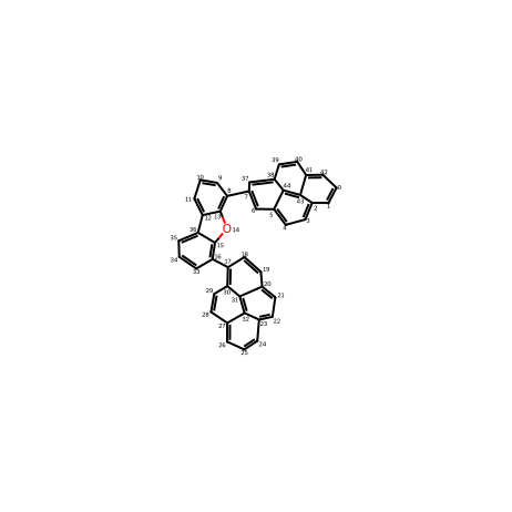 c1cc2ccc3cc(-c4cccc5c4oc4c(-c6ccc7ccc8cccc9ccc6c7c89)cccc45)cc4ccc(c1)c2c34